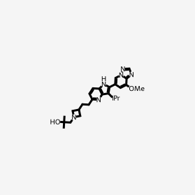 COc1cc(-c2[nH]c3ccc(CCC4CN(CC(C)(C)O)C4)nc3c2C(C)C)cn2ncnc12